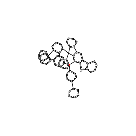 c1ccc(-c2ccc(N(c3ccc(-c4ccccc4)cc3)c3c4c(cc5c3oc3ccccc35)-c3ccccc3C43c4ccccc4-c4c(-c5ccccc5)cccc43)cc2)cc1